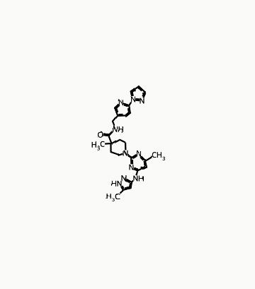 Cc1cc(Nc2cc(C)[nH]n2)nc(N2CCC(C)(C(=O)NCc3ccc(-n4cccn4)nc3)CC2)n1